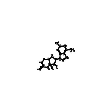 Nc1nc(Cl)nc2c1ncn2[C@@H]1OC2CO[PH](=O)O[C@H]2[C@@H]1F